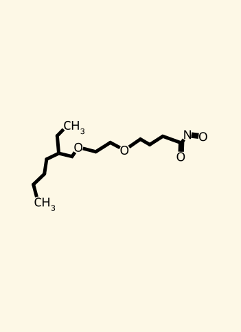 CCCCC(CC)COCCOCCCC(=O)N=O